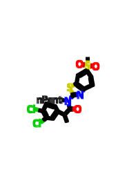 CCCCCN(C(=O)C(C)c1ccc(Cl)c(Cl)c1)c1nc2ccc(S(C)(=O)=O)cc2s1